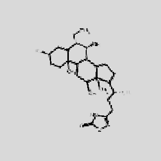 CC[C@@H]1C2C[C@H](O)CCC2(C)C2C[C@H](O)C3(C)C(CCC3[C@H](C)CCc3noc(=O)[nH]3)C2[C@@H]1O